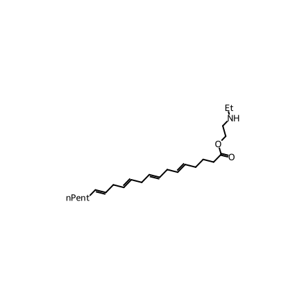 CCCCCC=CCC=CCC=CCC=CCCCC(=O)OCCNCC